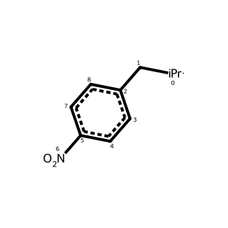 C[C](C)Cc1ccc([N+](=O)[O-])cc1